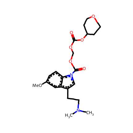 COc1ccc2c(c1)c(CCN(C)C)cn2C(=O)OCOC(=O)OC1CCOCC1